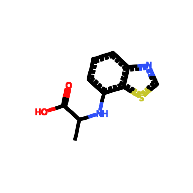 CC(Nc1cccc2ncsc12)C(=O)O